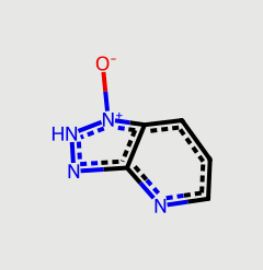 [O-][n+]1[nH]nc2ncccc21